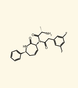 C[C@H](N)C(=O)N(C(=O)Cc1cc(F)cc(F)c1)[C@H]1C=CC[C@@H](c2ccccc2)NC1=O